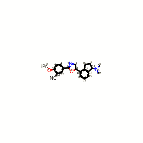 CC(C)Oc1ccc(C2=NCC(c3cccc4c3CCC4N(C)C)O2)cc1C#N